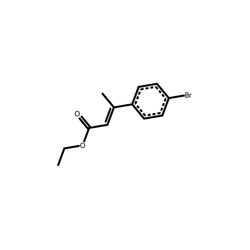 CCOC(=O)C=C(C)c1ccc(Br)cc1